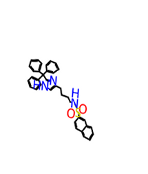 O=S(=O)(NCCCCc1c[nH]c(C(c2ccccc2)(c2ccccc2)c2ccccc2)n1)c1ccc2ccccc2c1